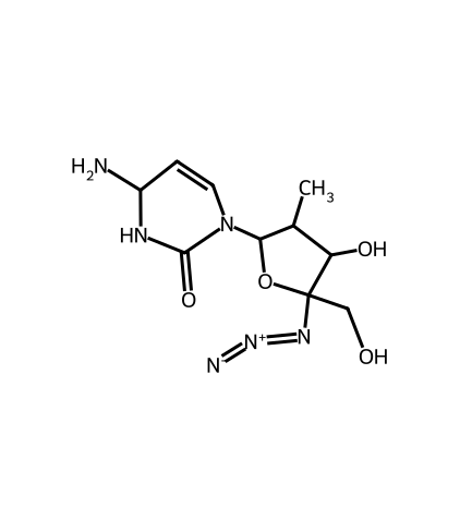 CC1C(N2C=CC(N)NC2=O)OC(CO)(N=[N+]=[N-])C1O